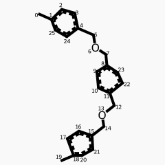 Cc1ccc(COCc2ccc(COCc3ccc(C)cc3)cc2)cc1